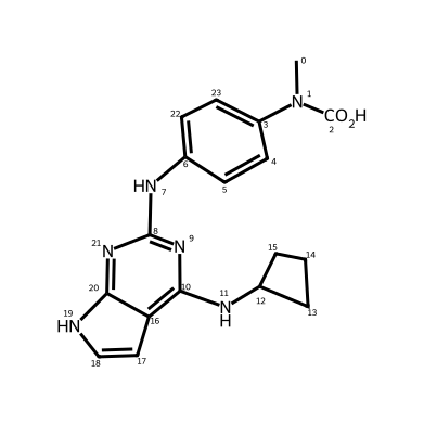 CN(C(=O)O)c1ccc(Nc2nc(NC3CCC3)c3cc[nH]c3n2)cc1